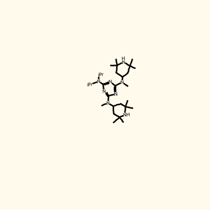 CC(C)N(c1nc(N(C)C2CC(C)(C)NC(C)(C)C2)nc(N(C)C2CC(C)(C)NC(C)(C)C2)n1)C(C)C